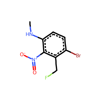 CNc1ccc(Br)c(CF)c1[N+](=O)[O-]